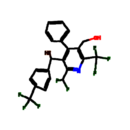 OCc1c(C(F)(F)F)nc(C(F)F)c(C(S)c2ccc(C(F)(F)F)cc2)c1-c1ccccc1